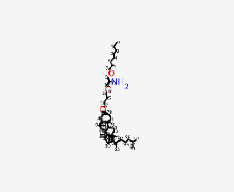 CCCCCCCCOCC(N)COCCCCO[C@H]1CC[C@@]2(C)C(=CC[C@H]3[C@@H]4CC[C@H](C(C)CCCC(C)C)[C@@]4(C)CC[C@@H]32)C1